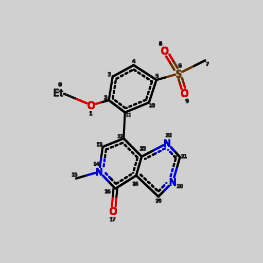 CCOc1ccc(S(C)(=O)=O)cc1-c1cn(C)c(=O)c2cncnc12